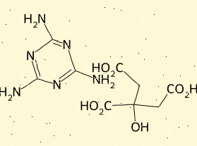 Nc1nc(N)nc(N)n1.O=C(O)CC(O)(CC(=O)O)C(=O)O